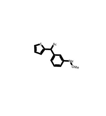 CONc1cccc(C(C(C)=O)c2cccs2)c1